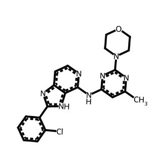 Cc1cc(Nc2nccc3nc(-c4ccccc4Cl)[nH]c23)nc(N2CCOCC2)n1